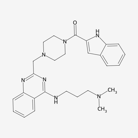 CN(C)CCCNc1nc(CN2CCN(C(=O)c3cc4ccccc4[nH]3)CC2)nc2ccccc12